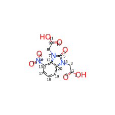 O=C(O)Cn1c(=O)n(CC(=O)O)c2c([N+](=O)[O-])cccc21